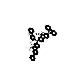 CC1(C)c2cc(-c3ccccc3)ccc2-c2ccc(N(c3ccc4c(c3)C(C)(C)c3cc(-n5c6ccccc6c6ccccc65)ccc3-4)c3ccc4oc5ccccc5c4c3)cc21